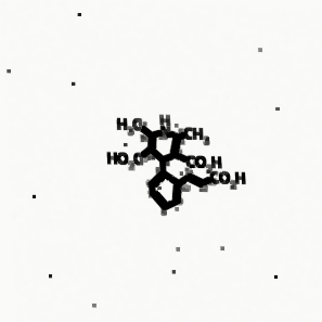 CC1=C(C(=O)O)C(c2ccccc2C=CC(=O)O)C(C(=O)O)=C(C)N1